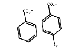 O=C(O)c1cc[c]([Fe])cc1.O=C(O)c1ccccc1